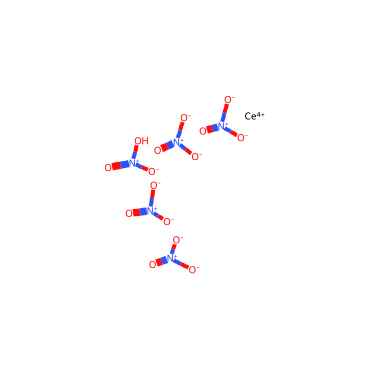 O=[N+]([O-])O.O=[N+]([O-])[O-].O=[N+]([O-])[O-].O=[N+]([O-])[O-].O=[N+]([O-])[O-].[Ce+4]